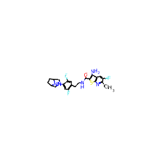 Cc1nc2sc(C(=O)NCCc3cc(F)c(N4CC5CCC(C4)N5)cc3F)c(N)c2cc1F